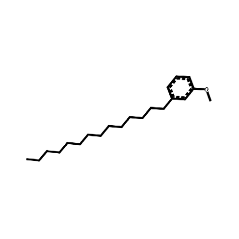 CCCCCCCCCCCCCCc1cccc(OC)c1